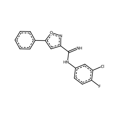 N=C(Nc1ccc(F)c(Cl)c1)c1cc(-c2ccccc2)on1